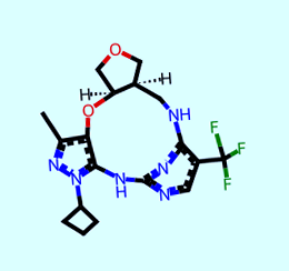 Cc1nn(C2CCC2)c2c1O[C@H]1COC[C@H]1CNc1nc(ncc1C(F)(F)F)N2